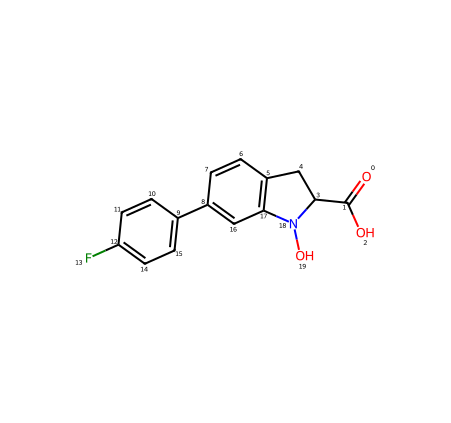 O=C(O)C1Cc2ccc(-c3ccc(F)cc3)cc2N1O